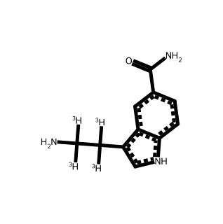 [3H]C([3H])(N)C([3H])([3H])c1c[nH]c2ccc(C(N)=O)cc12